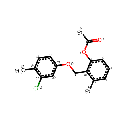 CCC(=O)Oc1cccc(CC)c1COc1ccc(C)c(Cl)c1